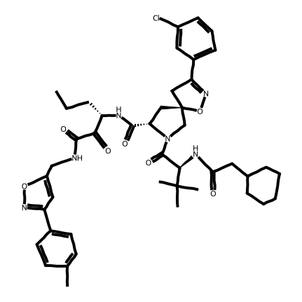 CCC[C@H](NC(=O)[C@@H]1C[C@]2(CC(c3cccc(Cl)c3)=NO2)CN1C(=O)[C@@H](NC(=O)CC1CCCCC1)C(C)(C)C)C(=O)C(=O)NCc1cc(-c2ccc(C)cc2)no1